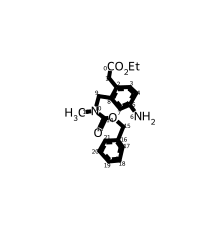 CCOC(=O)Cc1ccc(N)cc1CN(C)C(=O)OCc1ccccc1